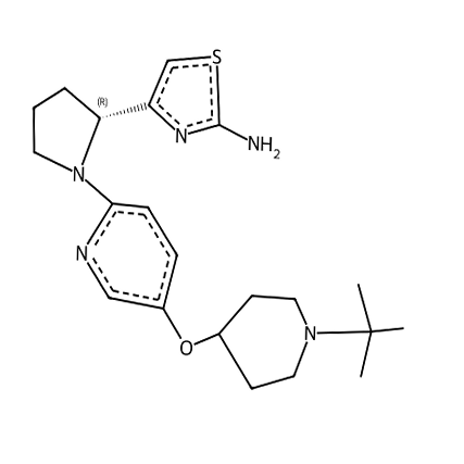 CC(C)(C)N1CCC(Oc2ccc(N3CCC[C@@H]3c3csc(N)n3)nc2)CC1